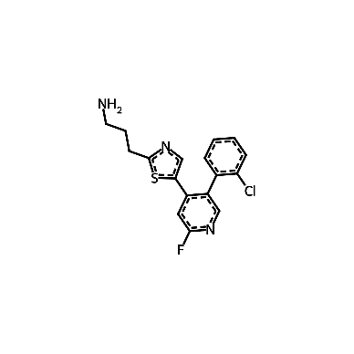 NCCCc1ncc(-c2cc(F)ncc2-c2ccccc2Cl)s1